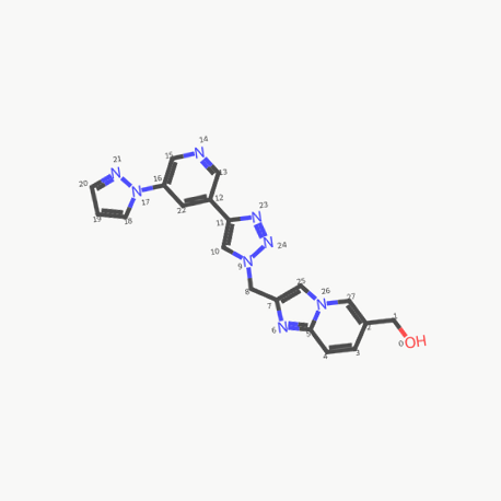 OCc1ccc2nc(Cn3cc(-c4cncc(-n5cccn5)c4)nn3)cn2c1